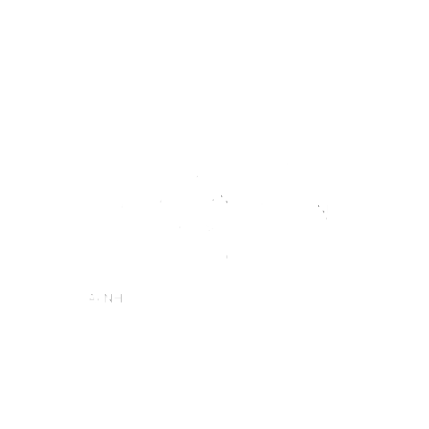 CC(=O)Nc1cccc(C(=O)N2CCCCC(CN)C2)c1